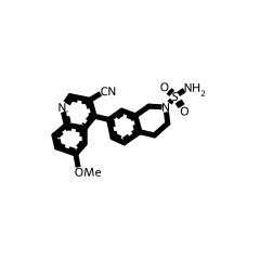 COc1ccc2ncc(C#N)c(-c3ccc4c(c3)CN(S(N)(=O)=O)CC4)c2c1